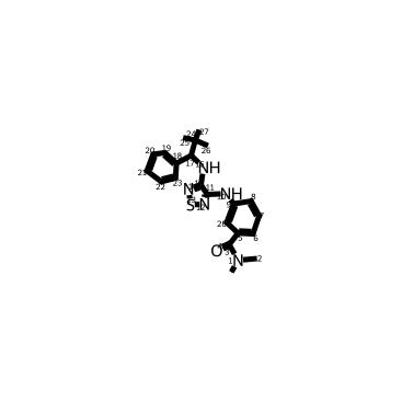 CN(C)C(=O)c1cccc(Nc2nsnc2NC(c2ccccc2)C(C)(C)C)c1